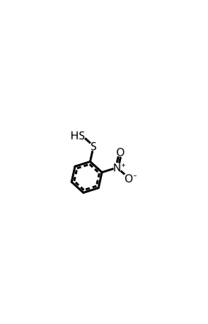 O=[N+]([O-])c1ccccc1SS